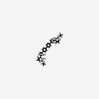 CC(C)(C)OC(=O)N[C@H](c1ncc(-c2ccc(-c3ccc(-c4cnc([C@@H](NC(=O)OC(C)(C)C)C5(C)CC5)[nH]4)cc3)cc2)[nH]1)C1(C)CC1